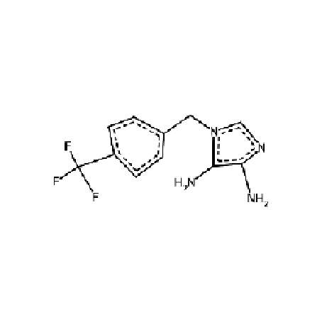 Nc1ncn(Cc2ccc(C(F)(F)F)cc2)c1N